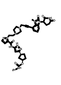 CC(C)NC(=O)O[C@@H]1CC[C@H](c2cc(NC(=O)c3ccnn3CCN3CCN(CC#Cc4cccc5c4n(C)c(=O)n5C4CCC(=O)NC4=O)CC3)[nH]n2)C1